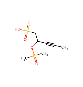 CC#CC(CS(=O)(=O)O)OP(C)(C)=O